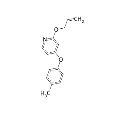 C=CCOc1cc(Oc2ccc(C)cc2)ccn1